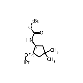 CC(C)O[C@H]1CC(C)(C)C[C@@H]1NC(=O)OC(C)(C)C